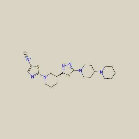 [C-]#[N+]c1cnc(N2CCC[C@H](c3nnc(N4CCC(N5CCCCC5)CC4)s3)C2)s1